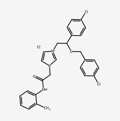 Cc1ccccc1NC(=O)Cn1cc[n+](CC(OCc2ccc(Cl)cc2)c2ccc(Cl)cc2)c1.[Cl-]